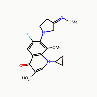 CO/N=C1/CCN(c2c(F)cc3c(=O)c(C(=O)O)cn(C4CC4)c3c2OC)C1